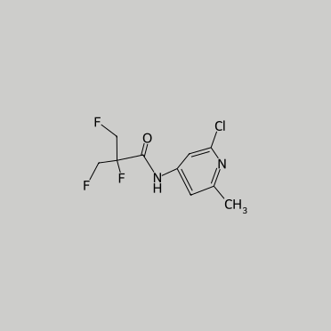 Cc1cc(NC(=O)C(F)(CF)CF)cc(Cl)n1